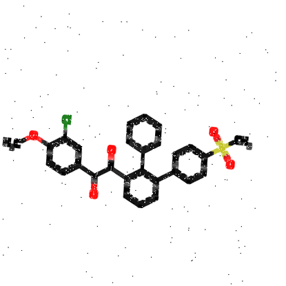 COc1ccc(C(=O)C(=O)c2cccc(-c3ccc(S(C)(=O)=O)cc3)c2-c2ccccc2)cc1Cl